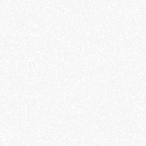 O=C(O)/C=C\C(=O)Nc1ccc(S(=O)(=O)c2ccc(NC(=O)/C=C\C(=O)O)cc2)cc1